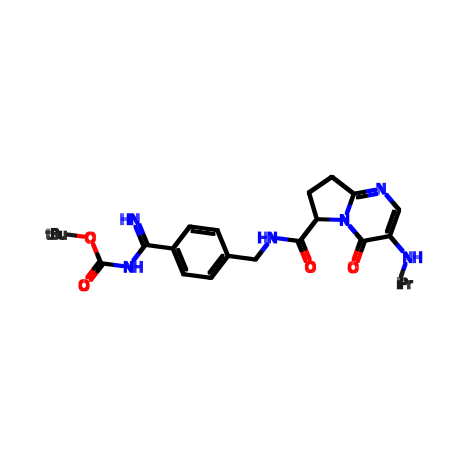 CC(C)Nc1cnc2n(c1=O)C(C(=O)NCc1ccc(C(=N)NC(=O)OC(C)(C)C)cc1)CC2